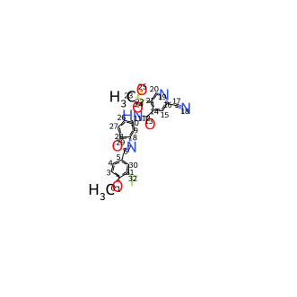 COc1ccc(-c2nc3cc(NC(=O)c4cc(C#N)ncc4S(C)(=O)=O)ccc3o2)cc1F